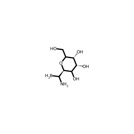 BC(N)[C@H]1OC(CO)[C@H](O)[C@H](O)C1O